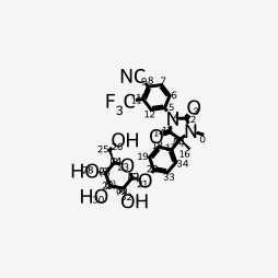 CN1C(=O)N(c2ccc(C#N)c(C(F)(F)F)c2)C(=O)[C@@]1(C)c1ccc(O[C@@H]2O[C@H](CO)[C@@H](O)[C@H](O)[C@H]2O)cc1